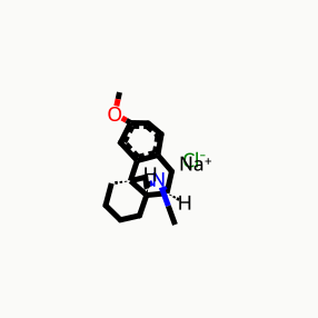 COc1ccc2c(c1)[C@]13CCCC[C@@H]1[C@H](C2)N(C)CC3.[Cl-].[Na+]